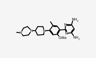 COc1cc(N2CCC(N3CCN(C)CC3)CC2)c(C)cc1-c1nc(N)cc(N)n1